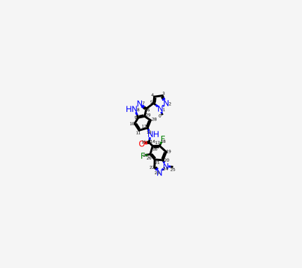 Cn1nccc1-c1n[nH]c2ccc(NC(=O)c3c(F)cc4c(cnn4C)c3F)cc12